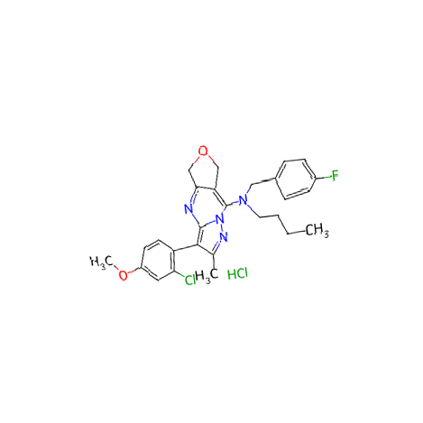 CCCCN(Cc1ccc(F)cc1)c1c2c(nc3c(-c4ccc(OC)cc4Cl)c(C)nn13)COC2.Cl